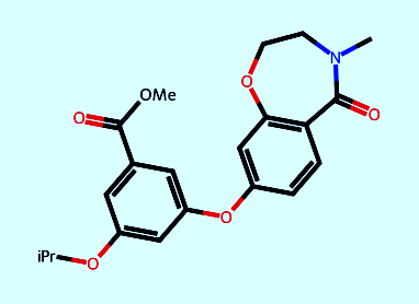 COC(=O)c1cc(Oc2ccc3c(c2)OCCN(C)C3=O)cc(OC(C)C)c1